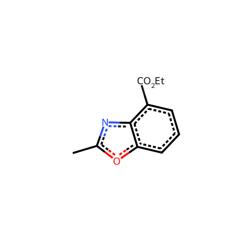 CCOC(=O)c1cccc2oc(C)nc12